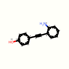 Nc1ccccc1C#Cc1ccc(O)cc1